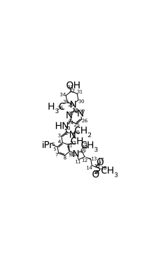 C=N/C(=C\c1c(C(C)C)ccc(N2C[C@H](CCS(C)(=O)=O)[C@H]2C)c1C)Nc1ccnc(N2CC[C@H](O)C[C@H]2C)n1